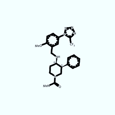 CNC(=O)N1CC[C@@H](NCc2cc(-n3nnnc3C(F)(F)F)ccc2OC)[C@@H](c2ccccc2)C1